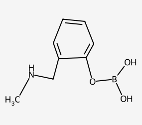 CNCc1ccccc1OB(O)O